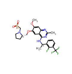 COc1cc2nc(C)nc(N[C@H](C)c3cccc(C(F)(F)F)c3F)c2cc1OC[C@@H]1CCCN1C[SH](=O)=O